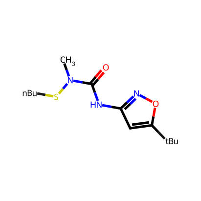 CCCCSN(C)C(=O)Nc1cc(C(C)(C)C)on1